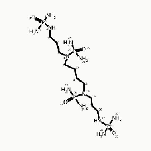 NP(N)(=O)NCCCN(CCCCN(CCCNP(N)(N)=O)P(N)(N)=O)P(N)(N)=O